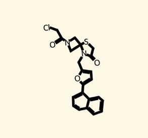 O=C(CCl)N1CC2(C1)SCC(=O)N2Cc1ccc(-c2cccc3ccccc23)o1